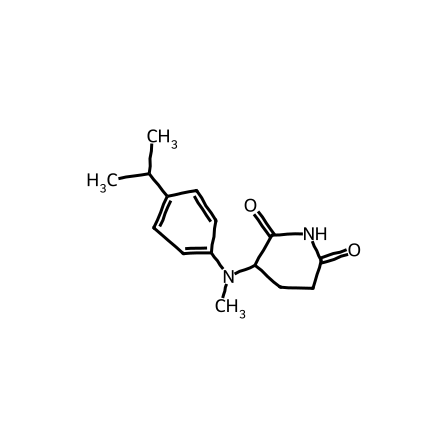 CC(C)c1ccc(N(C)C2CCC(=O)NC2=O)cc1